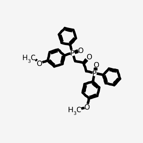 COc1ccc(P(=O)(CC(=O)CP(=O)(c2ccccc2)c2ccc(OC)cc2)c2ccccc2)cc1